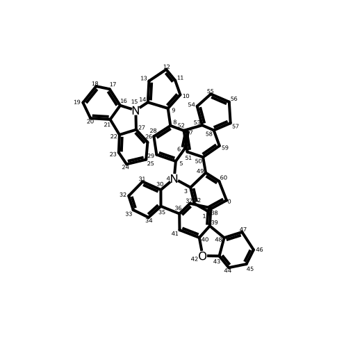 c1ccc(N(c2ccc(-c3ccccc3-n3c4ccccc4c4ccccc43)cc2)c2ccccc2-c2ccc3c(c2)oc2ccccc23)c(-c2ccc3ccccc3c2)c1